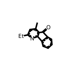 CCc1cc(C)c2c(n1)-c1ccccc1C2=O